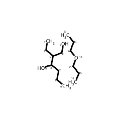 CCCC(O)C(CC)CO.CCCOCCC